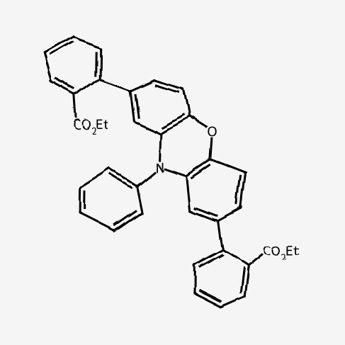 CCOC(=O)c1ccccc1-c1ccc2c(c1)N(c1ccccc1)c1cc(-c3ccccc3C(=O)OCC)ccc1O2